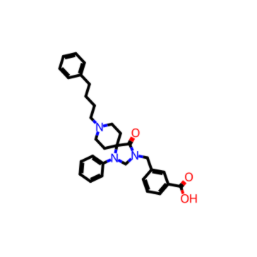 O=C(O)c1cccc(CN2CN(c3ccccc3)C3(CCN(CCCCc4ccccc4)CC3)C2=O)c1